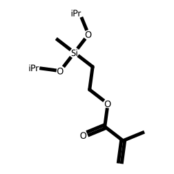 C=C(C)C(=O)OCC[Si](C)(OC(C)C)OC(C)C